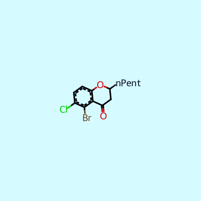 CCCCCC1CC(=O)c2c(ccc(Cl)c2Br)O1